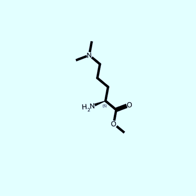 COC(=O)[C@@H](N)CCCN(C)C